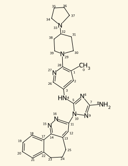 Cc1cc(Nc2nc(N)nn2-c2cc3c(nn2)-c2ccccc2CCC3)cnc1N1CCC(N2CCCC2)CC1